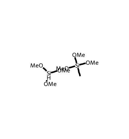 CO[SiH](OC)OC.CO[Si](C)(OC)OC